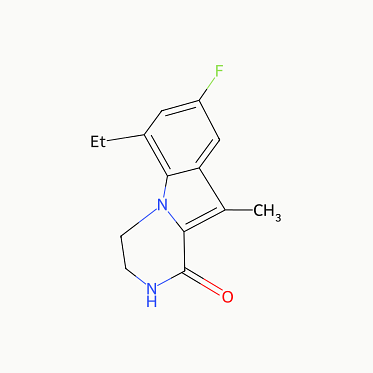 CCc1cc(F)cc2c(C)c3n(c12)CCNC3=O